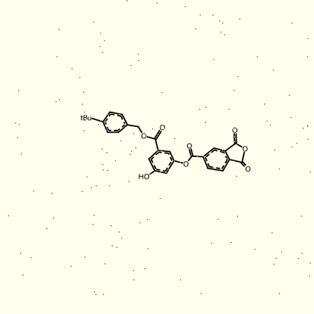 CC(C)(C)c1ccc(COC(=O)c2cc(O)cc(OC(=O)c3ccc4c(c3)C(=O)OC4=O)c2)cc1